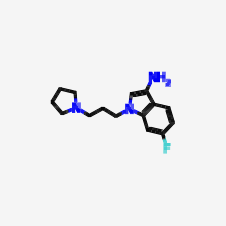 Nc1cn(CCCN2CCCC2)c2cc(F)ccc12